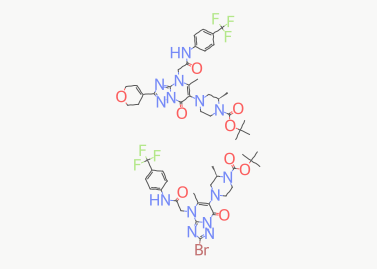 Cc1c(N2CCN(C(=O)OC(C)(C)C)[C@H](C)C2)c(=O)n2nc(Br)nc2n1CC(=O)Nc1ccc(C(F)(F)F)cc1.Cc1c(N2CCN(C(=O)OC(C)(C)C)[C@H](C)C2)c(=O)n2nc(C3=CCOCC3)nc2n1CC(=O)Nc1ccc(C(F)(F)F)cc1